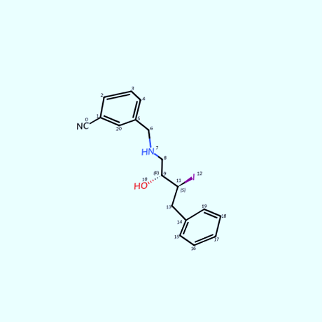 N#Cc1cccc(CNC[C@@H](O)[C@@H](I)Cc2ccccc2)c1